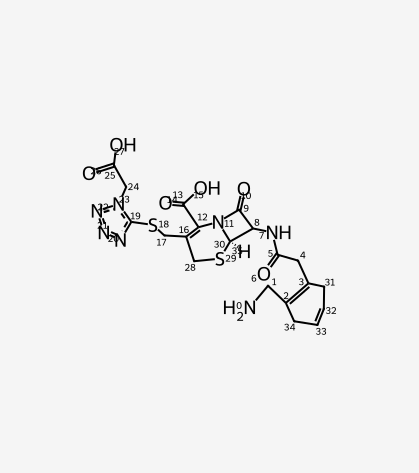 NCC1=C(CC(=O)NC2C(=O)N3C(C(=O)O)=C(CSc4nnnn4CC(=O)O)CS[C@H]23)CC=CC1